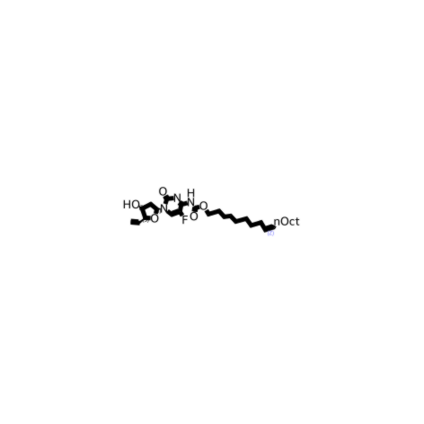 C=C[C@@H]1O[C@@H](n2cc(F)c(NC(=O)OCCCCCCCC/C=C\CCCCCCCC)nc2=O)C[C@H]1O